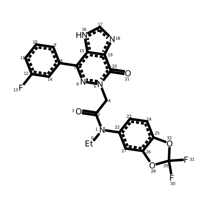 CCN(C(=O)Cn1nc(-c2cccc(F)c2)c2[nH]cnc2c1=O)c1ccc2c(c1)OC(F)(F)O2